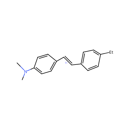 CCc1ccc(/C=C/c2ccc(N(C)C)cc2)cc1